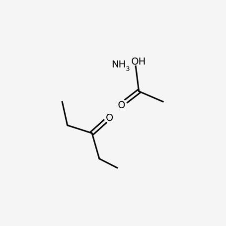 CC(=O)O.CCC(=O)CC.N